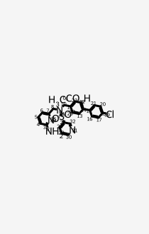 CC(=O)O.Nc1cccc(CN(Cc2ccc(-c3ccc(Cl)cc3)cc2)S(=O)(=O)c2cccnc2)n1